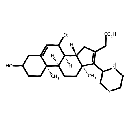 CCC1C=C2CC(O)CC[C@]2(C)[C@@H]2CC[C@]3(C)C(C4CNCCN4)=C(CC(=O)O)C[C@H]3[C@H]12